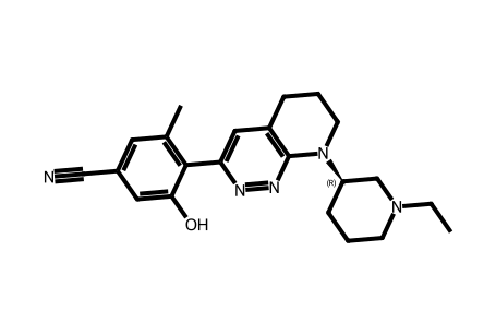 CCN1CCC[C@@H](N2CCCc3cc(-c4c(C)cc(C#N)cc4O)nnc32)C1